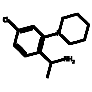 CC(N)c1ccc(Cl)cc1N1CCCCC1